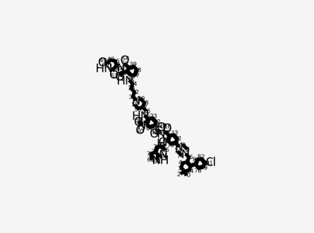 CC1(C)CCC(CN2CCN(c3ccc(C(=O)NS(=O)(=O)c4ccc(NCC5CCN(CCCCNc6cccc7c6C(=O)N(C6CCC(=O)NC6=O)C7=O)CC5)c([N+](=O)[O-])c4)c(Oc4cnc5[nH]ccc5c4)c3)CC2)=C(c2ccc(Cl)cc2)C1